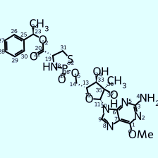 COc1nc(N)nc2c1ncn2[C@@H]1O[C@H](CO[P@]2(=O)N[C@H](C(=O)O[C@H](C)c3ccccc3)CS2)[C@@H](O)[C@@]1(C)O